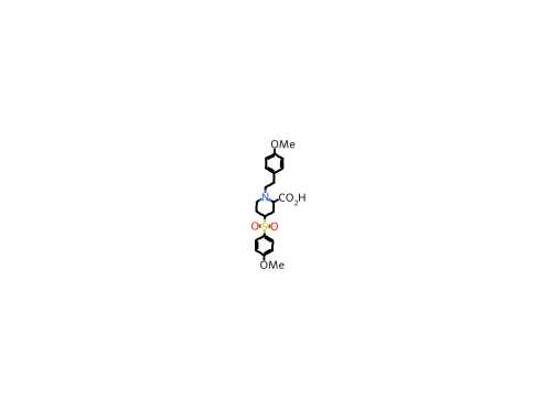 COc1ccc(CCN2CCC(S(=O)(=O)c3ccc(OC)cc3)CC2C(=O)O)cc1